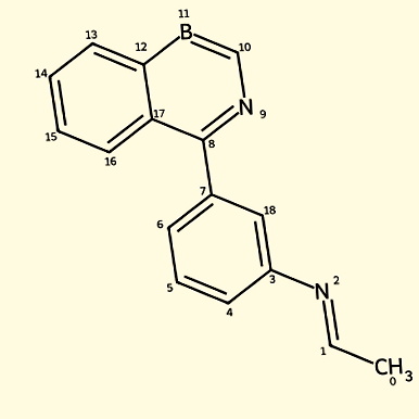 C/C=N/c1cccc(-c2ncbc3ccccc23)c1